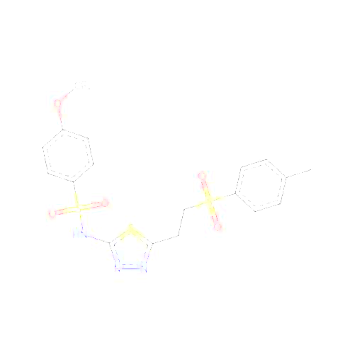 Cc1ccc(S(=O)(=O)CCc2nnc(NS(=O)(=O)c3ccc(OC(F)(F)F)cc3)s2)cc1